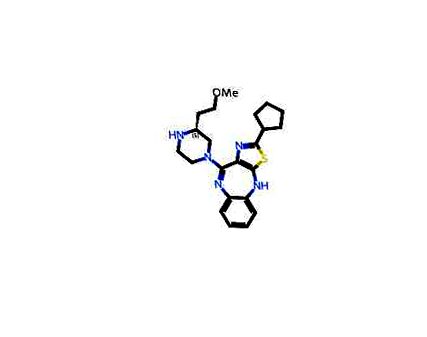 COCC[C@H]1CN(C2=Nc3ccccc3Nc3sc(C4CCCC4)nc32)CCN1